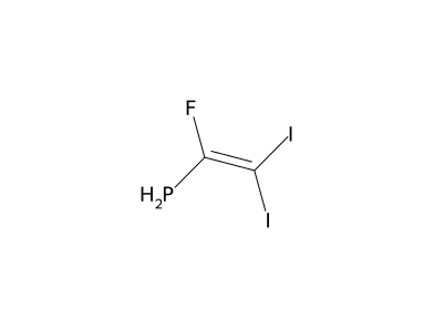 FC(P)=C(I)I